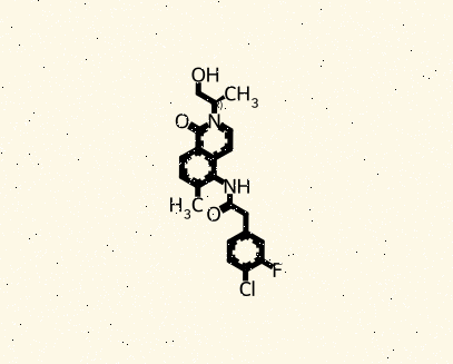 Cc1ccc2c(=O)n([C@H](C)CO)ccc2c1NC(=O)Cc1ccc(Cl)c(F)c1